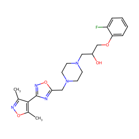 Cc1noc(C)c1-c1noc(CN2CCN(CC(O)COc3ccccc3F)CC2)n1